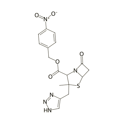 CC1(Cc2c[nH]nn2)SC2CC(=O)N2C1C(=O)OCc1ccc([N+](=O)[O-])cc1